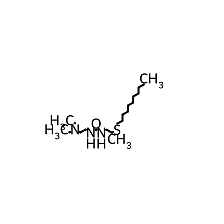 CCCCCCCCCCCSC(C)CNC(=O)NCCN(CC)CC